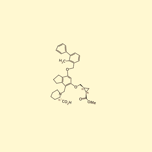 COC(=O)[C@@H]1C[C@@H]1COc1cc(OCc2cccc(-c3ccccc3)c2C)c2c(c1CN1CCCC[C@H]1C(=O)O)CCC2